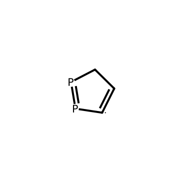 [C]1=CCP=P1